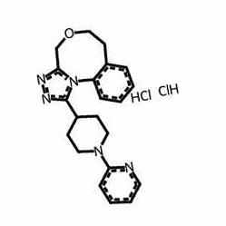 Cl.Cl.c1ccc(N2CCC(c3nnc4n3-c3ccccc3CCOC4)CC2)nc1